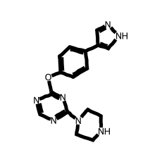 c1nc(Oc2ccc(-c3cn[nH]c3)cc2)nc(N2CCNCC2)n1